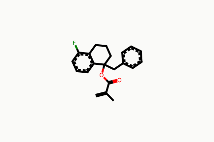 C=C(C)C(=O)OC1(Cc2ccccc2)CCCc2c(F)cccc21